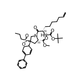 C=CCCCCC[C@H](NC(=O)OC(C)(C)C)C(=O)N1C[C@@](C2C=CC(c3ccccc3)=CC2)(S(=O)(=O)CCC)C[C@H]1C(=O)OC